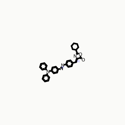 O=C1OC(C2CCCCC2)=N/C1=C\c1ccc(/N=N/c2ccc(N(c3ccccc3)c3ccccc3)cc2)cc1